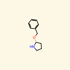 c1ccc(CO[C@@H]2CCCN2)cc1